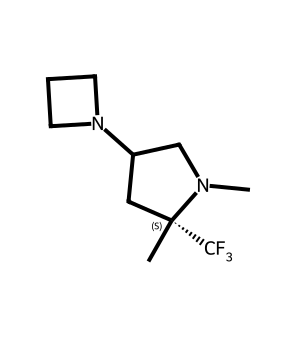 CN1CC(N2CCC2)C[C@@]1(C)C(F)(F)F